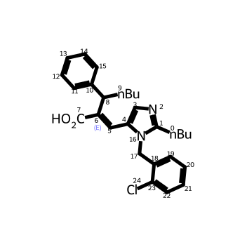 CCCCc1ncc(/C=C(/C(=O)O)C(CCCC)c2ccccc2)n1Cc1ccccc1Cl